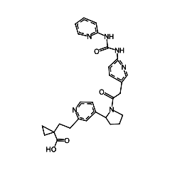 O=C(Nc1ccccn1)Nc1ccc(CC(=O)N2CCCC2c2ccnc(CCC3(C(=O)O)CC3)c2)cn1